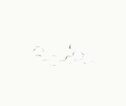 COC[C@@H](NC1=NC(=O)S/C1=C\C1CCN(Cc2ccc(C(F)(F)F)cc2C(F)(F)F)CC1)C(=O)N(C)C